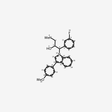 CNCC(O)C(c1cccc(F)c1)n1cc(-c2ccc(OC)cc2)c2ccccc21